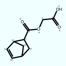 O=C(O)COC(=O)C1CC2C=CC1C2